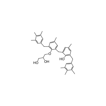 Cc1cc(Cc2cc(C)c(C)c(C)c2)c(O)c(Cc2cc(C)cc(Cc3cc(C)c(C)c(C)c3)c2OCC(O)CO)c1